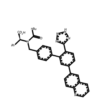 CCCCC(=O)N(Cc1ccc(-c2cc(-c3ccc4ncccc4c3)ccc2-c2nn[nH]n2)cc1)[C@H](C(=O)O)C(C)C